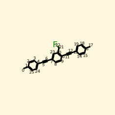 Cc1ccc(C#Cc2ccc(C#Cc3ccc(C)cc3)c(CF)c2)cc1